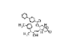 Cc1cccc([C@@H](C)C(O)/C=C/[C@H]2C(OC(=O)c3ccc(-c4ccccc4)cc3)C[C@@H]3OC(=O)C[C@@H]32)c1